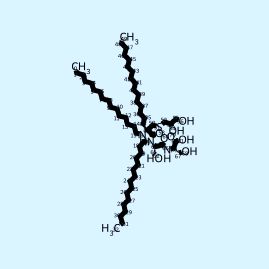 CCCCCCCCCCCCCCCCN(CCCCCCCCCCCCCCCC)[C@](CCCCCCCCCCCCCCCC)(CSCC(O)CO)C(=O)N[C@@H](CO)C(=O)N[C@@H](CO)C(=O)O